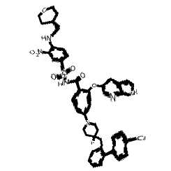 O=C(NS(=O)(=O)c1ccc(NCC2CCOCC2)c([N+](=O)[O-])c1)c1ccc(N2CCC(F)(Cc3ccccc3-c3ccc(Cl)cc3)CC2)cc1Oc1cnc2[nH]ccc2c1